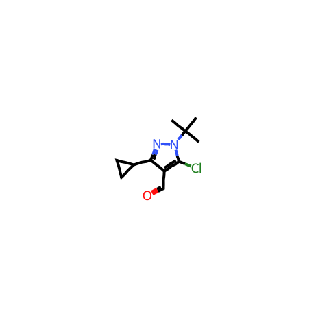 CC(C)(C)n1nc(C2CC2)c(C=O)c1Cl